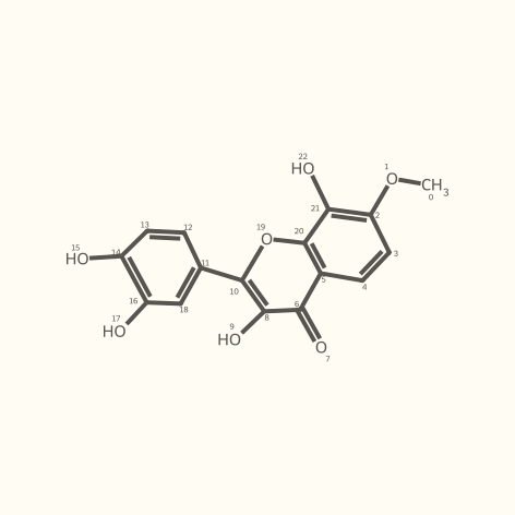 COc1ccc2c(=O)c(O)c(-c3ccc(O)c(O)c3)oc2c1O